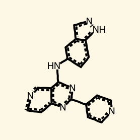 c1cc(-c2nc(Nc3ccc4[nH]ncc4c3)c3cnccc3n2)ccn1